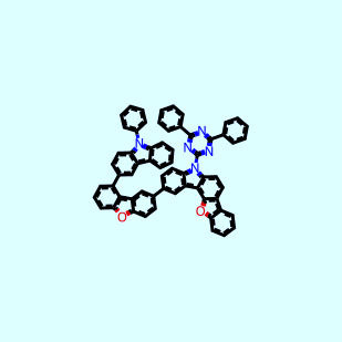 c1ccc(-c2nc(-c3ccccc3)nc(-n3c4ccc(-c5ccc6oc7cccc(-c8ccc9c(c8)c8ccccc8n9-c8ccccc8)c7c6c5)cc4c4c5oc6ccccc6c5ccc43)n2)cc1